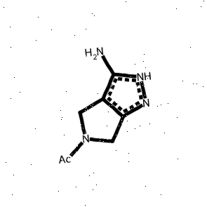 CC(=O)N1Cc2n[nH]c(N)c2C1